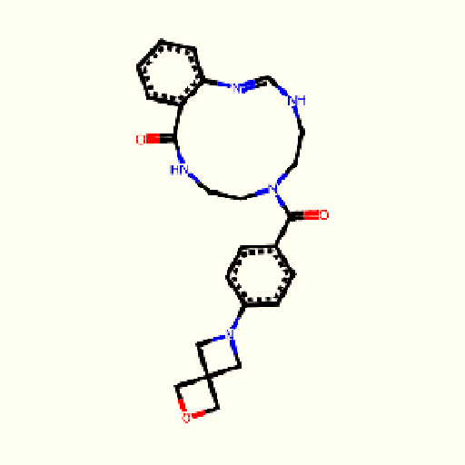 O=C1NCCN(C(=O)c2ccc(N3CC4(COC4)C3)cc2)CCN/C=N/c2ccccc21